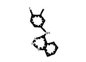 Cc1cc(Nc2nnnc3ccccc23)ccc1F